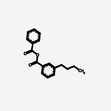 CCCCc1cccc(C(=O)OC(=O)c2ccccc2)c1